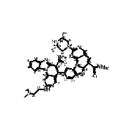 CNC(=O)c1cc2cnc(N3C[C@@H](C)N[C@@H](C)C3)nc2n2c1nc1ccc(-c3c(C(=O)NC)c4nc5ccccc5n4c4nc(NCCN(C)C)ncc34)cc12